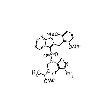 COc1cccc(OC)c1Cc1sc2ncccc2c1S(=O)(=O)N(COC(C)OC)c1onc(C)c1Cl